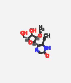 C#Cc1[nH]c(=O)cnc1[C@@H]1O[C@H](CO)C(O)[C@@H]1OC